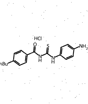 CCCCc1ccc(C(=O)NC(=S)Nc2ccc(N)cc2)cc1.Cl